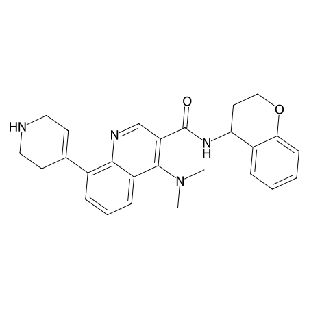 CN(C)c1c(C(=O)NC2CCOc3ccccc32)cnc2c(C3=CCNCC3)cccc12